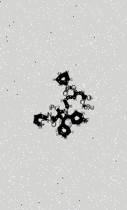 CC(C)C1C(C(=O)Nc2ccccc2)C(c2ccccc2)C(c2ccc(F)cc2)N1CCC1CC(CC(=O)OC(C)(C)C)OB(c2ccccc2)O1